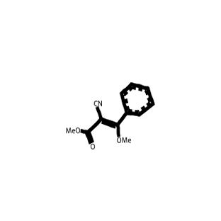 COC(=O)/C(C#N)=C(\OC)c1ccccc1